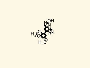 COc1cc(OC)c(Cl)c(-c2cc3cnc(O)nc3n3cnnc23)c1